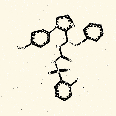 COc1ccc(-n2ccnc2[C@H](Cc2ccccc2)NC(=O)NS(=O)(=O)c2ccccc2Cl)cc1